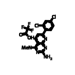 CNc1nc(N)nc2nc(-c3ccc(Cl)cc3Cl)ccc12.O=C(O)C(F)(F)F